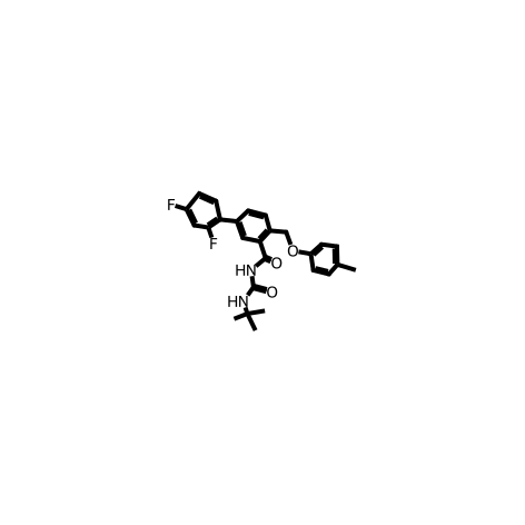 Cc1ccc(OCc2ccc(-c3ccc(F)cc3F)cc2C(=O)NC(=O)NC(C)(C)C)cc1